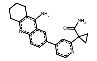 NC(=O)C1(c2cc(-c3ccc4nc5c(c(N)c4c3)CCCC5)ccn2)CC1